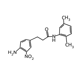 Cc1ccc(C)c(NC(=O)CCc2ccc(N)c([N+](=O)[O-])c2)c1